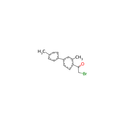 Cc1ccc(-c2ccc(C(=O)CBr)c(C)c2)cc1